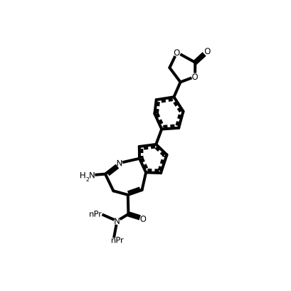 CCCN(CCC)C(=O)C1=Cc2ccc(-c3ccc(C4COC(=O)O4)cc3)cc2N=C(N)C1